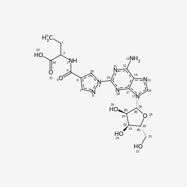 CCC(NC(=O)c1cnn(-c2nc(N)c3ncn([C@@H]4O[C@H](CO)[C@@H](O)[C@H]4O)c3n2)c1)C(=O)O